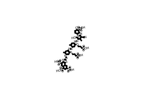 Cc1cc(N=Nc2cc(OCCCS(=O)(=O)O)c(N=Nc3c(C)c(C#N)c4nc5c(S(=O)(=O)O)c(Cl)ccc5n4c3O)cc2C)c(SCCCS(=O)(=O)O)cc1N=Nc1nc2c(S(=O)(=O)O)cc3c(S(=O)(=O)O)cc(S(=O)(=O)O)cc3c2s1